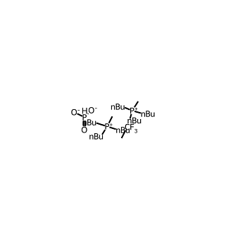 CC(F)(F)F.CCCC[P+](C)(CCCC)CCCC.CCCC[P+](C)(CCCC)CCCC.O=[PH]([O-])[O-]